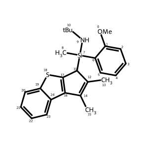 COc1ccccc1[Si](C)(NC(C)(C)C)C1C(C)=C(C)c2c1sc1ccccc21